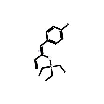 C=C/C(=C/c1ccc(F)cc1)O[Si](CC)(CC)CC